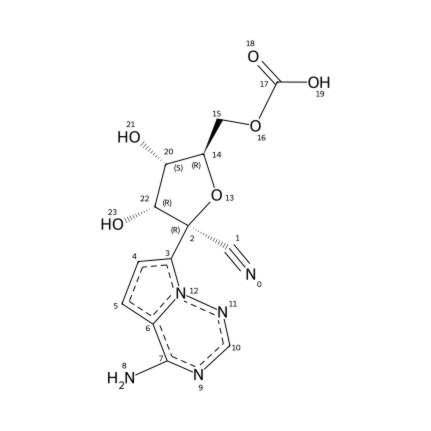 N#C[C@@]1(c2ccc3c(N)ncnn23)O[C@H](COC(=O)O)[C@@H](O)[C@H]1O